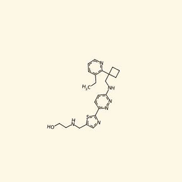 CCc1cccnc1C1(CNc2ccc(-c3ncc(CNCCO)s3)nn2)CCC1